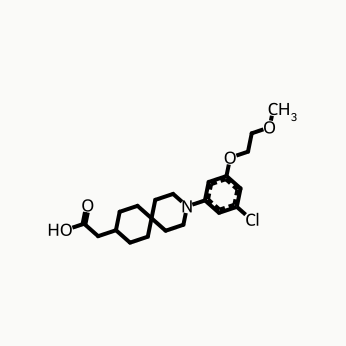 COCCOc1cc(Cl)cc(N2CCC3(CCC(CC(=O)O)CC3)CC2)c1